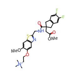 COC(=O)CC1(C(=O)NCc2nc3cc(OCC[N+](C)(C)C)c(OC)cc3s2)Cc2cc(F)c(F)cc2C1